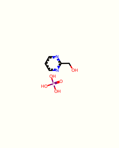 O=P(O)(O)O.OCc1ncccn1